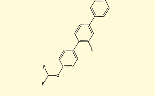 CCCc1ccc(-c2ccc(-c3ccc(OC(F)F)cc3)c(F)c2)cc1